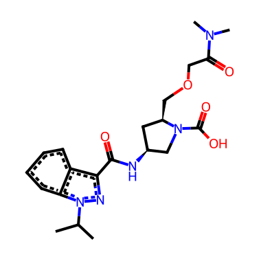 CC(C)n1nc(C(=O)N[C@H]2C[C@@H](COCC(=O)N(C)C)N(C(=O)O)C2)c2ccccc21